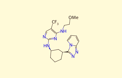 COCCNc1nc(N[C@@H]2CCC[C@H](c3nnc4ccccn34)C2)ncc1C(F)(F)F